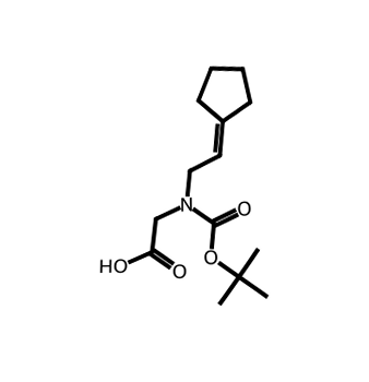 CC(C)(C)OC(=O)N(CC=C1CCCC1)CC(=O)O